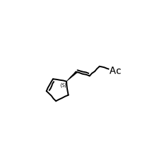 CC(=O)CC=C[C@@H]1C=CCC1